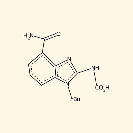 CCCCn1c(NC(=O)O)nc2c(C(N)=O)cccc21